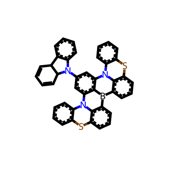 C1=CC2c3ccccc3N(c3cc4c5c(c3)N3c6ccccc6Sc6cccc(c63)B5c3cccc5c3N4c3ccccc3S5)C2C=C1